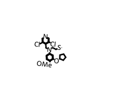 COc1ccc(N(CC[S])Cc2c(Cl)cncc2Cl)cc1OC1CCCC1